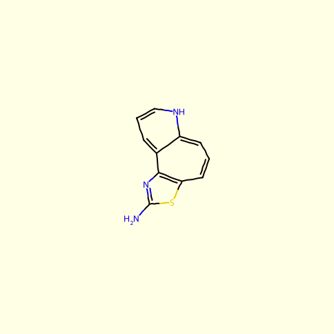 Nc1nc2c(s1)C=CC=C1NC=CC=C12